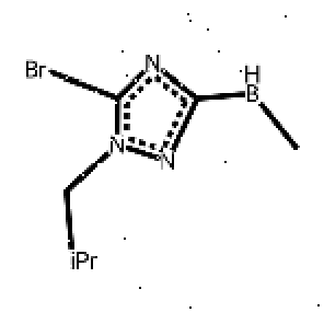 CBc1nc(Br)n(CC(C)C)n1